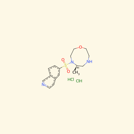 C[C@@H]1CNCCOCCN1S(=O)(=O)c1ccc2cnccc2c1.Cl.Cl